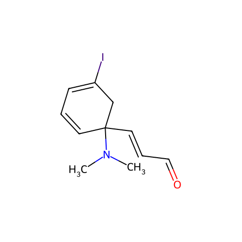 CN(C)C1(C=CC=O)C=CC=C(I)C1